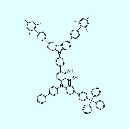 CC1=CC(C)CC(C)=C1c1ccc(-c2ccc3c(c2)c2cc(-c4ccc(-c5c(C)cc(C)cc5C)cc4)ccc2n3-c2ccc(C3=CC=C(N(c4ccc(-c5ccccc5)cc4)c4ccc(-c5ccc(C(c6ccccc6)(c6ccccc6)c6ccccc6)cc5)cc4)C(NS)C3=N)cc2)cc1